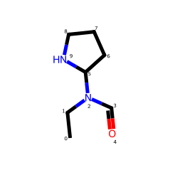 CCN(C=O)C1CCCN1